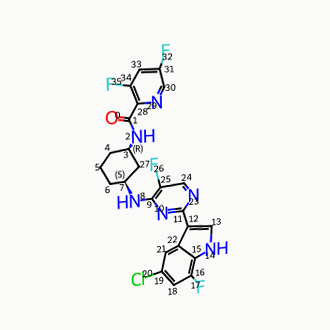 O=C(N[C@@H]1CCC[C@H](Nc2nc(-c3c[nH]c4c(F)cc(Cl)cc34)ncc2F)C1)c1ncc(F)cc1F